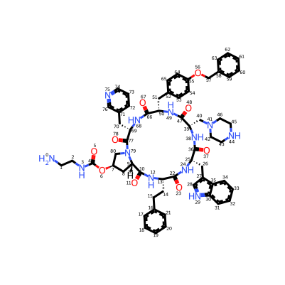 NCCNC(=O)O[C@@H]1C[C@H]2C(=O)N[C@@H](CCc3ccccc3)C(=O)N[C@@H](Cc3c[nH]c4ccccc34)C(=O)N[C@@H](CN3CCNCC3)C(=O)N[C@@H](Cc3ccc(OCc4ccccc4)cc3)C(=O)N[C@@H](Cc3cccnc3)C(=O)N2C1